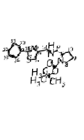 CC(C)(C)OC(=O)N1CCC[C@H]1CNCc1csc(-c2ccccc2)n1